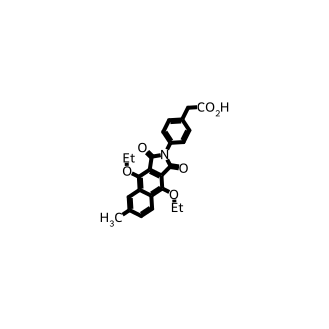 CCOc1c2c(c(OCC)c3cc(C)ccc13)C(=O)N(c1ccc(CC(=O)O)cc1)C2=O